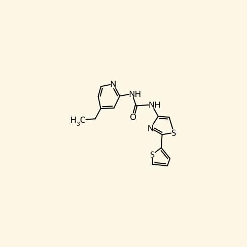 CCc1ccnc(NC(=O)Nc2csc(-c3cccs3)n2)c1